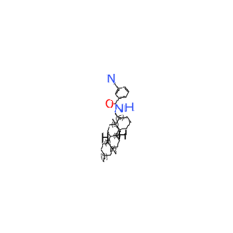 C[C@H]1CC[C@@H]2C3CC[C@@]4(C)C(CCC[C@@H]4CNC(=O)c4cccc(C#N)c4)[C@@H]3CC[C@]2(C)C1